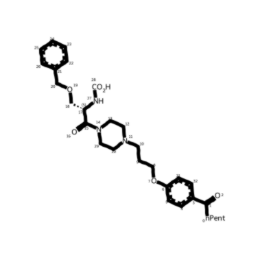 CCCCCC(=O)c1ccc(OCCCN2CCN(C(=O)[C@H](COCc3ccccc3)NC(=O)O)CC2)cc1